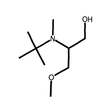 COCC(CO)N(C)C(C)(C)C